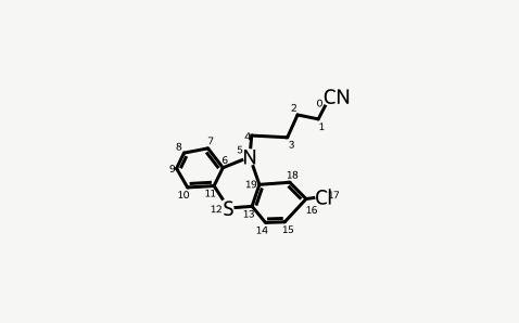 N#CCCCCN1c2ccccc2Sc2ccc(Cl)cc21